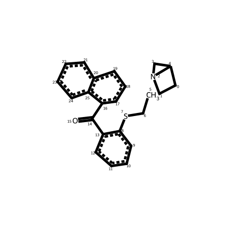 C1CN2CC12.CCSc1ccccc1C(=O)c1cccc2ccccc12